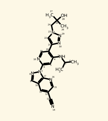 CC(C)Nc1cc(-n2ncc3cc(C#N)cnc32)ncc1-c1cn(CC(C)(C)O)nn1